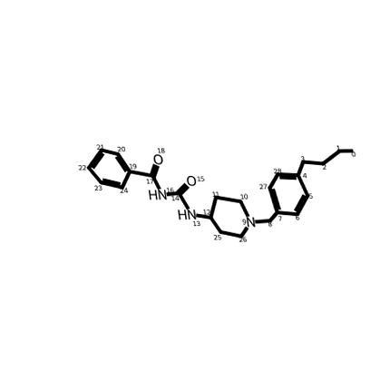 CCCCc1ccc(CN2CCC(NC(=O)NC(=O)c3ccccc3)CC2)cc1